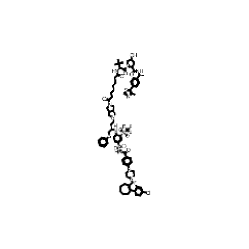 Cc1ncsc1-c1ccc([C@H](C)NC(=O)C2CC(O)CN2C(=O)[C@@H](NC(=O)CCCCCCC(=O)N2CC3CN(CC[C@H](CSc4ccccc4)Nc4ccc(S(=O)(=O)NC(=O)c5ccc(N6CCN(CC7=C(c8ccc(Cl)cc8F)CCCCC7)CC6)cc5)cc4S(=O)(=O)C(F)(F)F)CC3C2)C(C)(C)C)cc1